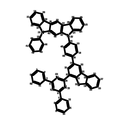 c1ccc(-c2nc(-c3ccccc3)nc(-c3cc(-c4ccc(-n5c6ccccc6c6cc7c8ccccc8n(-c8ccccc8)c7cc65)cc4)cc4c3sc3ccccc34)n2)cc1